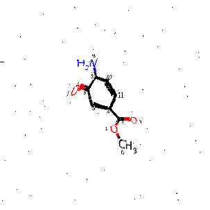 COC(=O)C1=CC(=O)C(N)C=C1